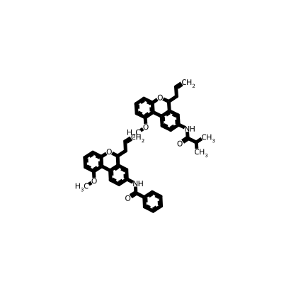 C=CCC1Oc2cccc(OC)c2-c2ccc(NC(=O)C(C)C)cc21.C=CCC1Oc2cccc(OC)c2-c2ccc(NC(=O)c3ccccc3)cc21